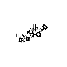 NC(=O)[C@H]1CCCN1C[C@H]1C[C@H](n2cc(-c3cccc(OCC45CCC(CC4)O5)c3)c3c(N)ncnc32)C1